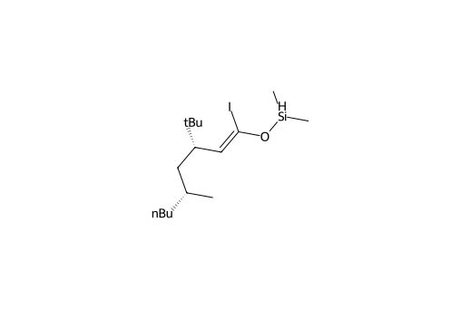 CCCC[C@@H](C)C[C@@H](C=C(I)O[SiH](C)C)C(C)(C)C